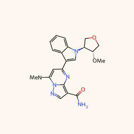 CNc1cc(-c2cn([C@H]3COC[C@@H]3OC)c3ccccc23)nc2c(C(N)=O)cnn12